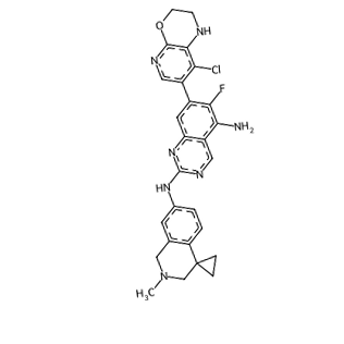 CN1Cc2cc(Nc3ncc4c(N)c(F)c(-c5cnc6c(c5Cl)NCCO6)cc4n3)ccc2C2(CC2)C1